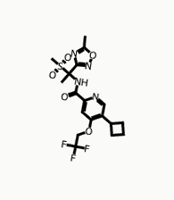 Cc1nc(C(C)(NC(=O)c2cc(OCC(F)(F)F)c(C3CCC3)cn2)S(C)(=O)=O)no1